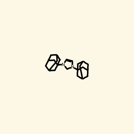 C1=CN(C23CC4CC(CC(C4)C2)C3)CN1C12CC3CC(CC(C3)C1)C2